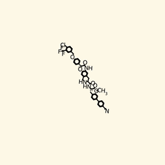 COC(=O)[C@H](Cc1ccc(-c2ccc(C#N)cc2)cc1)NC(=O)C1Cc2cc3c(cc2CN1)O[C@@H](c1ccc(OCc2ccc(Cl)c(C(F)(F)F)c2)cc1)C(=O)N3